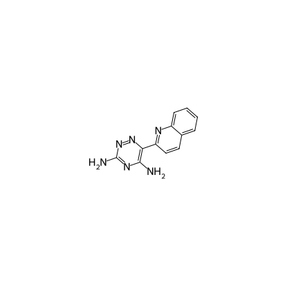 Nc1nnc(-c2ccc3ccccc3n2)c(N)n1